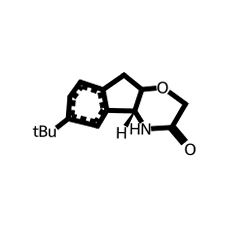 CC(C)(C)c1ccc2c(c1)[C@H]1NC(=O)COC1C2